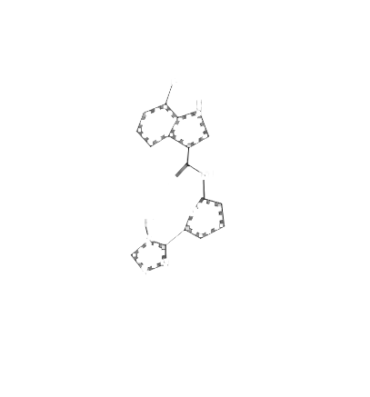 CC(C)n1cnnc1-c1cccc(NC(=O)c2c[nH]c3c(Br)cccc23)n1